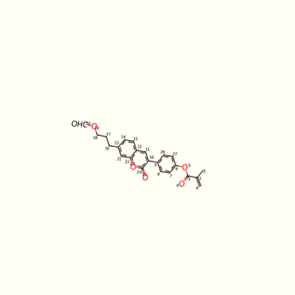 C=C(C)C(=O)Oc1ccc(-c2cc3ccc(CCCOC=O)cc3oc2=O)cc1